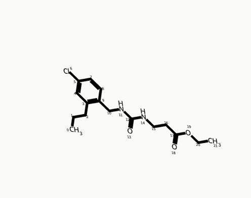 CCCc1cc(Cl)ccc1CNC(=O)NCCC(=O)OCC